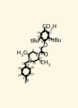 C[C@@H]1CN(C(=O)COc2c(C(C)(C)C)cc(C(=O)O)cc2C(C)(C)C)[C@@H](C)CN1Cc1ccc(F)cc1